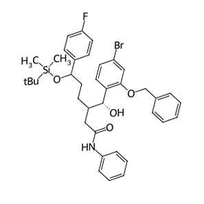 CC(C)(C)[Si](C)(C)OC(CCC(CC(=O)Nc1ccccc1)[C@@H](O)c1ccc(Br)cc1OCc1ccccc1)c1ccc(F)cc1